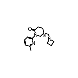 Cc1cccc(N2C[C@H](CN3CCC3)CCC2=O)n1